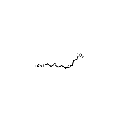 CCCCCCCCCCOCCC=C=CCCC(=O)O